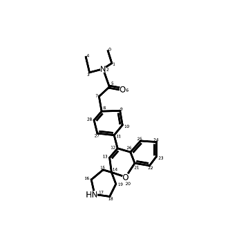 CCN(CC)C(=O)Cc1ccc(C2=CC3(CCNCC3)Oc3ccccc32)cc1